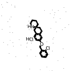 Cl.Clc1ccccc1COc1ccc2c(c1)CCC1(CCCCN1)C2